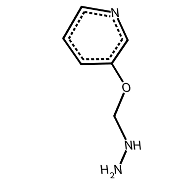 NNCOc1cccnc1